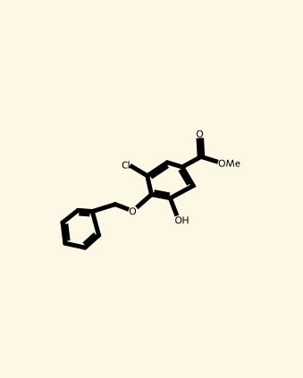 COC(=O)c1cc(O)c(OCc2ccccc2)c(Cl)c1